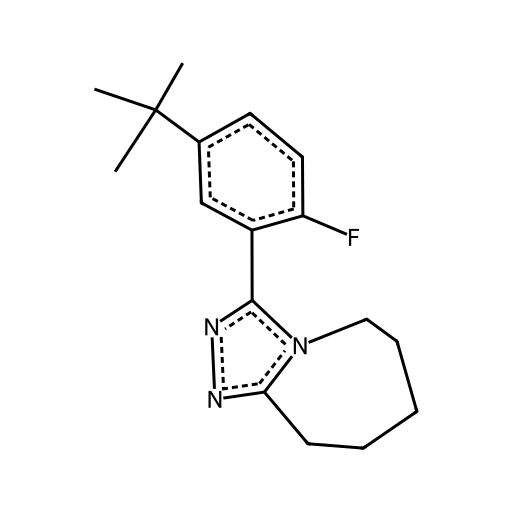 CC(C)(C)c1ccc(F)c(-c2nnc3n2CCCCC3)c1